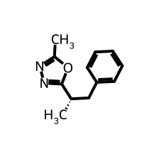 Cc1nnc([C@@H](C)Cc2ccccc2)o1